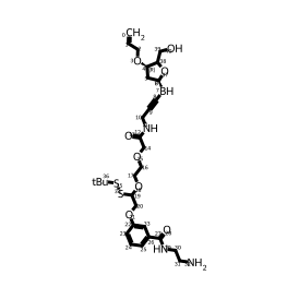 C=CCO[C@@H]1C[C@H](BC#CCNC(=O)COCCOC(COc2cccc(C(=O)NCCN)c2)SSC(C)(C)C)OC1CO